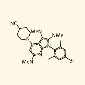 CNc1cc(N2CCC(C#N)CC2)c2c(NC)c(NC)n(-c3c(C)cc(Br)cc3C)c2n1